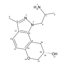 Cc1nn(CC(C)N)c2c3c(ccc12)OC[C@@H](O)C3